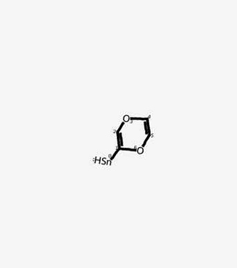 [SnH][C]1=COC=CO1